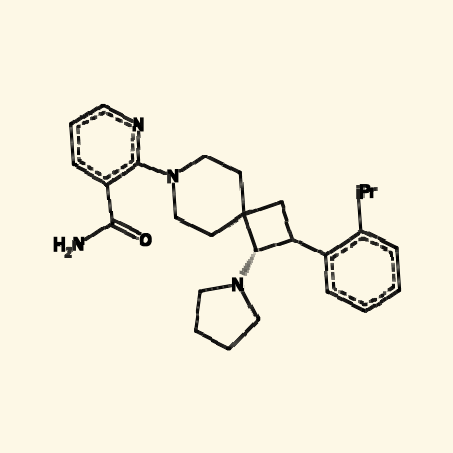 CC(C)c1ccccc1C1CC2(CCN(c3ncccc3C(N)=O)CC2)[C@H]1N1CCCC1